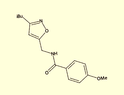 CCC(C)c1cc(CNC(=O)c2ccc(OC)cc2)on1